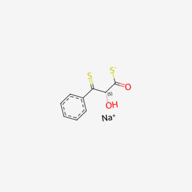 O=C([S-])[C@H](O)C(=S)c1ccccc1.[Na+]